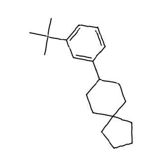 CC(C)(C)c1cccc([C]2CCC3(CCCC3)CC2)c1